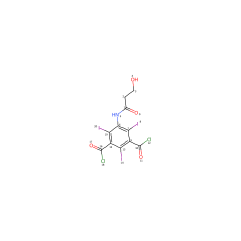 O=C(CCO)Nc1c(I)c(C(=O)Cl)c(I)c(C(=O)Cl)c1I